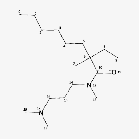 CCCCCCC(C)(CC)C(=O)N(C)CCCN(C)C